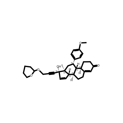 COc1ccc([C@H]2C[C@@]3(C)[C@@H](C=C[C@@]3(O)C#CCOC3CCCCO3)[C@@H]3CCC4=CC(=O)CC[C@@H]4[C@H]32)cc1